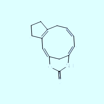 S=C1N/C2=C/C=C\CC3=C(/C=C(\C2)O1)CCC3